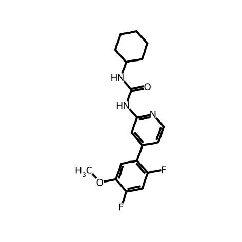 COc1cc(-c2ccnc(NC(=O)NC3CCCCC3)c2)c(F)cc1F